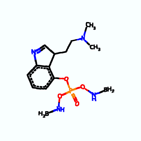 BNOP(=O)(ONB)Oc1cccc2c1C(CCN(C)C)C=N2